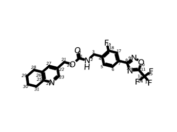 O=C(NCc1ccc(-c2noc(C(F)(F)F)n2)cc1F)OCc1cnc2c(c1)CCCC2